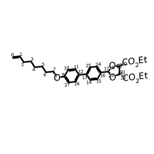 C=CCCCCCCOc1ccc(-c2ccc(C3O[C@@H](C(=O)OCC)[C@H](C(=O)OCC)O3)cc2)cc1